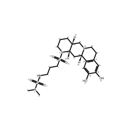 CN(C)S(=O)(=O)NCCCS(=O)(=O)N1CCC[C@@H]2CN3CCc4cc(O)c(O)cc4[C@@H]3C[C@@H]21